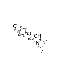 CCCN(CCC)CC(O)COc1ccc(C=O)cc1